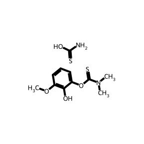 COc1cccc(OC(=S)N(C)C)c1O.NC(O)=S